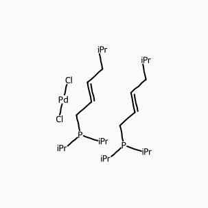 CC(C)CC=CCP(C(C)C)C(C)C.CC(C)CC=CCP(C(C)C)C(C)C.[Cl][Pd][Cl]